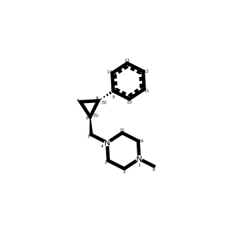 CN1CCN(C[C@H]2C[C@@H]2c2ccccc2)CC1